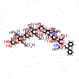 CCCC(=O)NC1[C@H](OCCC(c2ccccc2)c2ccccc2)OC(CO)[C@@H](O[C@H]2C[C@H](O)[C@@H](O[C@@H]3OC(CO)[C@@H](O[C@H]4C[C@H](O)[C@H](O[C@@H]5OC(COS(=O)(=O)O)[C@@H](O[C@H]6C[C@H](O)[C@H](O[C@H]7OC(COS(=O)(=O)O)[C@@H](O[C@H]8C[C@H](O)[C@H](O)CO8)[C@H](O)C7NC(=O)CCC)CO6)[C@H](O)C5NC(=O)CCC)CO4)[C@H](O)C3NC(=O)CCC)CO2)[C@@H]1O